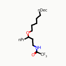 CCCCCCCCCCCCCCCO[C](CCC)CCNC(=O)C(F)(F)F